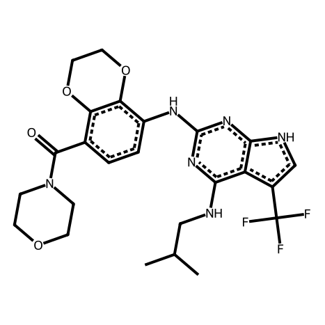 CC(C)CNc1nc(Nc2ccc(C(=O)N3CCOCC3)c3c2OCCO3)nc2[nH]cc(C(F)(F)F)c12